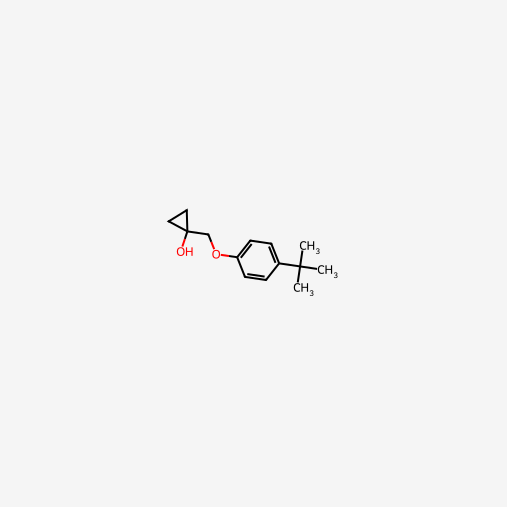 CC(C)(C)c1ccc(OCC2(O)CC2)cc1